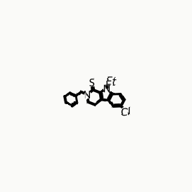 CCn1c2c(c3cc(Cl)ccc31)CCN(CC1=CCCC=C1)C2=S